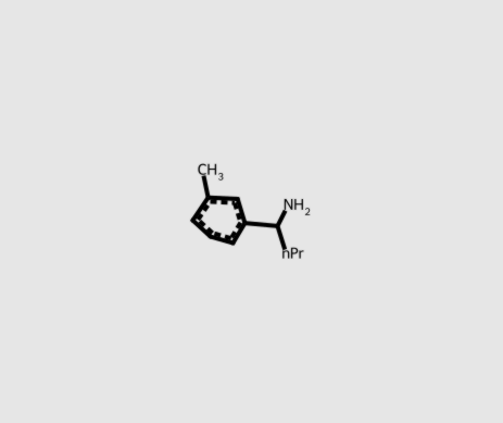 CCCC(N)c1cccc(C)c1